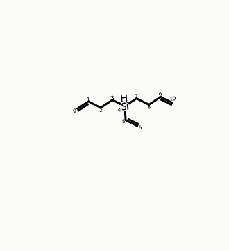 C=CCC[SiH](C=C)CCC=C